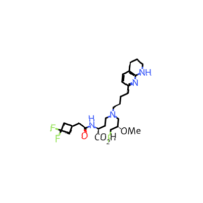 CO[C@H](CF)CN(CCCCc1ccc2c(n1)NCCC2)CC[C@H](NC(=O)CC1CC(F)(F)C1)C(=O)O